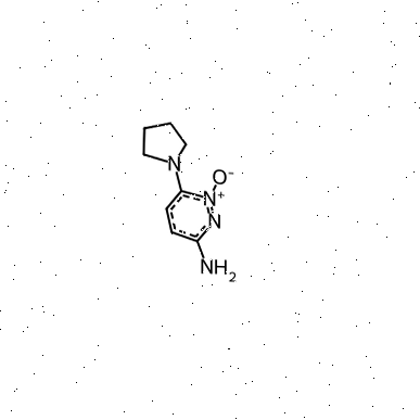 Nc1ccc(N2CCCC2)[n+]([O-])n1